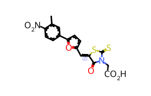 Cc1cc(-c2ccc(/C=C3\SC(=S)N(CC(=O)O)C3=O)o2)ccc1[N+](=O)[O-]